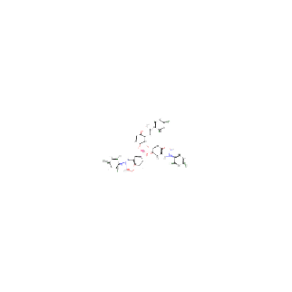 O=P(Oc1ccc2c(c1)CC(c1c(F)cc(F)cc1F)CO2)(Oc1ccc2c(c1)CN(c1c(F)cc(F)cc1F)CO2)c1ccc2c(c1)CN(c1c(F)cc(F)cc1F)CO2